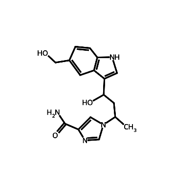 CC(CC(O)c1c[nH]c2ccc(CO)cc12)n1cnc(C(N)=O)c1